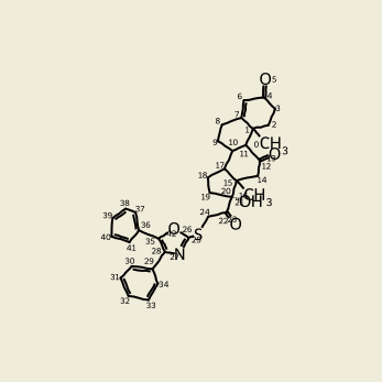 CC12CCC(=O)C=C1CCC1C2C(=O)CC2(C)C1CC[C@]2(O)C(=O)CSc1nc(-c2ccccc2)c(-c2ccccc2)o1